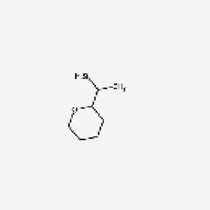 [CH2]C([SiH3])C1CCCCO1